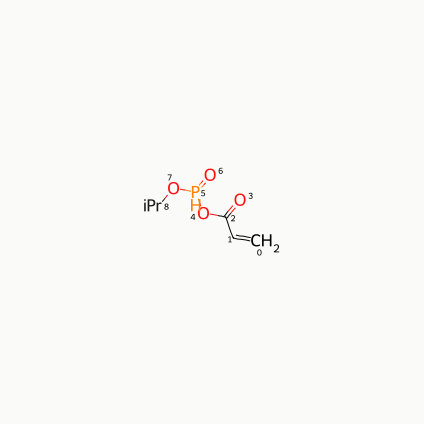 C=CC(=O)O[PH](=O)OC(C)C